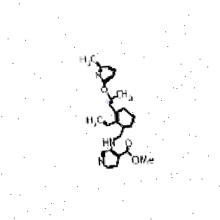 C=CC1=C(/C=C(\C)Oc2cccc(C)n2)CCCC1CNc1cnccc1C(=O)OC